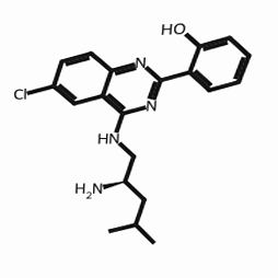 CC(C)C[C@@H](N)CNc1nc(-c2ccccc2O)nc2ccc(Cl)cc12